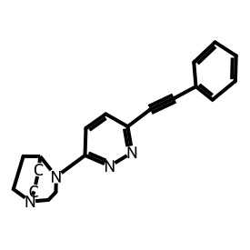 C(#Cc1ccc(N2CCN3CCC2CC3)nn1)c1ccccc1